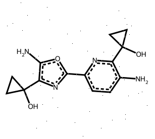 Nc1ccc(-c2nc(C3(O)CC3)c(N)o2)nc1C1(O)CC1